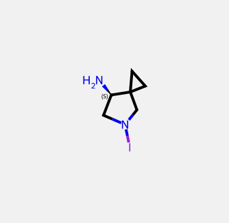 N[C@@H]1CN(I)CC12CC2